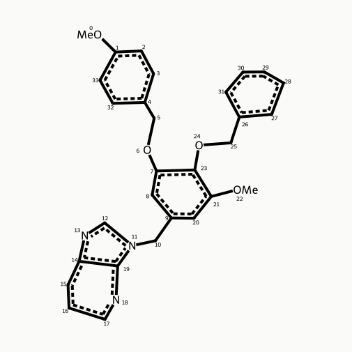 COc1ccc(COc2cc(Cn3cnc4cccnc43)cc(OC)c2OCc2ccccc2)cc1